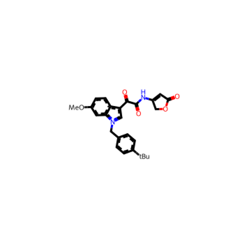 COc1ccc2c(C(=O)C(=O)NC3=CC(=O)OC3)cn(Cc3ccc(C(C)(C)C)cc3)c2c1